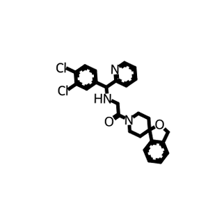 O=C(CNC(c1ccc(Cl)c(Cl)c1)c1ccccn1)N1CCC2(CC1)OCc1ccccc12